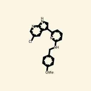 COc1ccc(CNc2cccc(-c3c[nH]c4ncc(Cl)cc34)n2)cc1